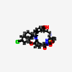 CC[C@@H]1/C=C/C[C@H](O)[C@@H]2CC[C@H]2CN2C[C@@]3(CCCc4cc(Cl)ccc43)COc3ccc(cc32)C(=O)NS1(=O)=O